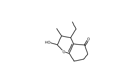 CCC1C2=C(CCCC2=O)OC(O)C1C